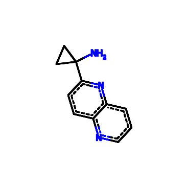 NC1(c2ccc3ncccc3n2)CC1